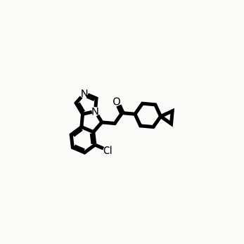 O=C(CC1c2c(Cl)cccc2-c2cncn21)C1CCC2(CC1)CC2